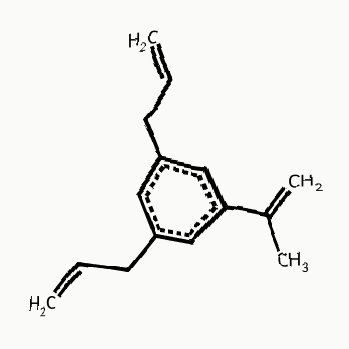 C=CCc1cc(CC=C)cc(C(=C)C)c1